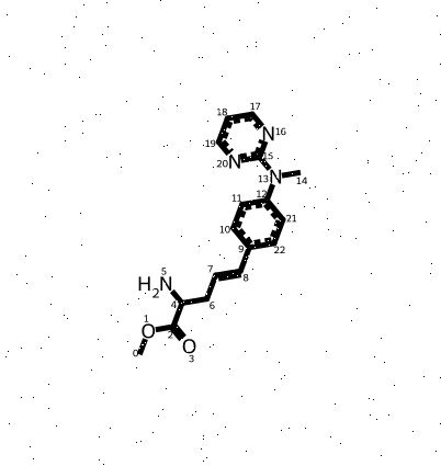 COC(=O)C(N)C/C=C/c1ccc(N(C)c2ncccn2)cc1